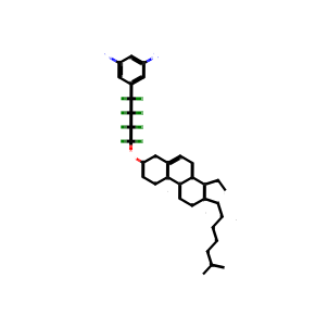 CC(C)CCC[C@@H](C)[C@H]1CCC2C3CC=C4CC(OC(F)(F)C(F)(F)C(F)(F)C(F)(F)c5cc(N)cc(N)c5)CC[C@]4(C)C3CC[C@@]21C